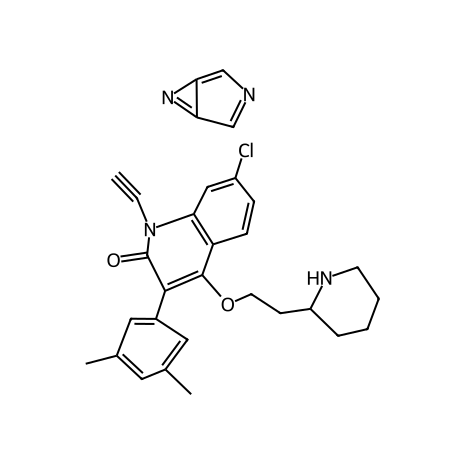 C#Cn1c(=O)c(-c2cc(C)cc(C)c2)c(OCCC2CCCCN2)c2ccc(Cl)cc21.c1ncc2nc1-2